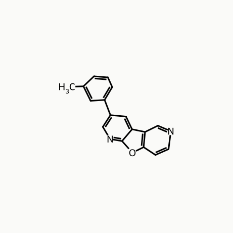 Cc1cccc(-c2cnc3oc4ccncc4c3c2)c1